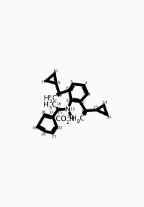 C=C(c1cccc(C(=C)C2CC2)c1N(C(=O)O)[C@H](C)c1ccccc1)C1CC1